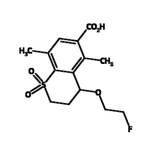 Cc1cc(C(=O)O)c(C)c2c1S(=O)(=O)CCC2OCCF